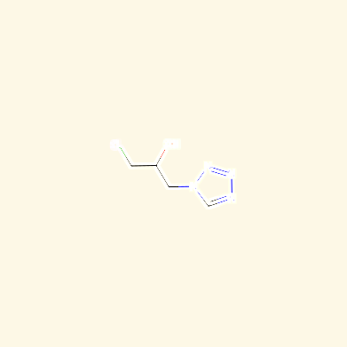 OC(CCl)Cn1cnnn1